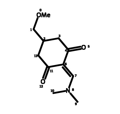 COCC1CC(=O)C(=CN(C)C)C(=O)C1